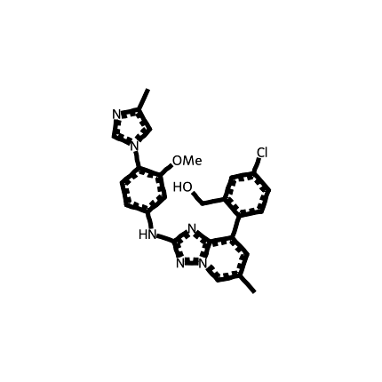 COc1cc(Nc2nc3c(-c4ccc(Cl)cc4CO)cc(C)cn3n2)ccc1-n1cnc(C)c1